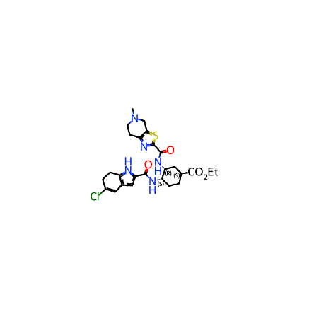 CCOC(=O)[C@H]1CC[C@H](NC(=O)c2cc3c([nH]2)CCC(Cl)=C3)[C@H](NC(=O)c2nc3c(s2)CN(C)CC3)C1